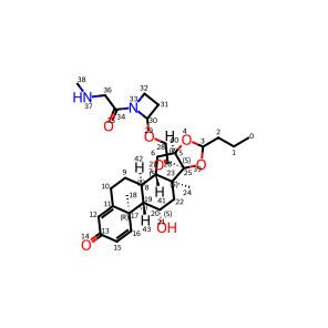 CCCC1O[C@@H]2C[C@H]3[C@@H]4CCC5=CC(=O)C=C[C@]5(C)[C@H]4[C@@H](O)C[C@]3(C)[C@]2(C(=O)COC2CCN2C(=O)CNC)O1